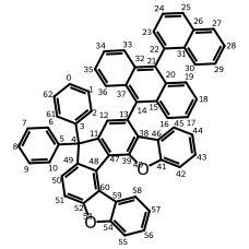 c1ccc(C2(c3ccccc3)c3cc(-c4c5ccccc5c(-c5cccc6ccccc56)c5ccccc45)c4c(oc5ccccc54)c3-c3c2ccc2oc4ccccc4c32)cc1